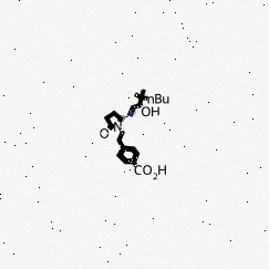 CCCCC(C)(C)C(O)/C=C/[C@H]1CCC(=O)N1CCc1ccc(C(=O)O)cc1